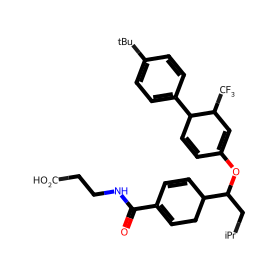 CC(C)CC(OC1=CC(C(F)(F)F)C(c2ccc(C(C)(C)C)cc2)C=C1)C1C=CC(C(=O)NCCC(=O)O)=CC1